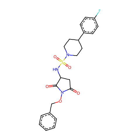 O=C1CC(NS(=O)(=O)N2CCC(c3ccc(F)cc3)CC2)C(=O)N1OCc1ccccc1